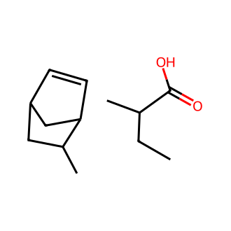 CC1CC2C=CC1C2.CCC(C)C(=O)O